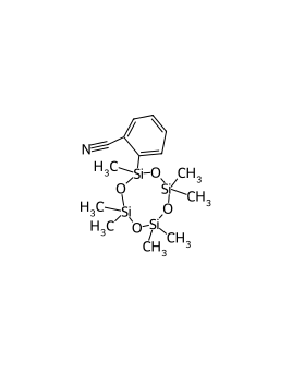 C[Si]1(C)O[Si](C)(C)O[Si](C)(c2ccccc2C#N)O[Si](C)(C)O1